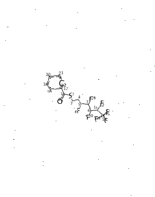 O=C(SCCC(F)C(F)C(F)C(F)C(F)(F)F)c1ccccc1